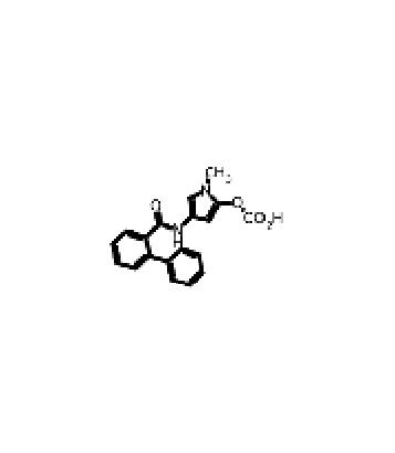 Cn1cc(NC(=O)c2ccccc2-c2ccccc2)cc1OC(=O)O